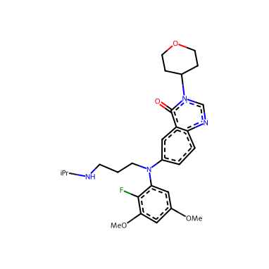 COc1cc(OC)c(F)c(N(CCCNC(C)C)c2ccc3ncn(C4CCOCC4)c(=O)c3c2)c1